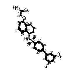 COc1cc(F)cc(-c2ccc(S(=O)(=O)N[C@@H]3CCCc4c(OCC(=O)O)cccc43)cc2)c1